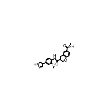 CNC(=O)c1ccc2c(c1)CC(C(=O)Nc1ccc(C3C=NNC3)cc1OC)CO2